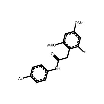 COc1cc(F)c(CC(=O)Nc2ccc(C(C)=O)cc2)c(OC)c1